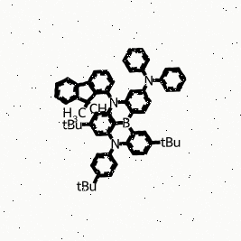 CC(C)(C)c1ccc(N2c3ccc(C(C)(C)C)cc3B3c4ccc(N(c5ccccc5)c5ccccc5)cc4N(c4cccc5c4C(C)(C)c4ccccc4-5)c4cc(C(C)(C)C)cc2c43)cc1